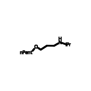 CCCCCOCCCNC(C)C